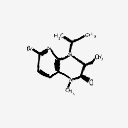 CC(C)N1c2nc(Br)ccc2N(C)C(=O)C1C